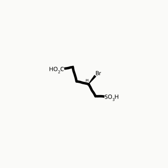 O=C(O)CC[C@@H](Br)CS(=O)(=O)O